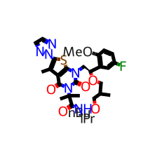 CCCCOCC(C)CO[C@@H](Cn1c(=O)n(C(C)(C)C(=O)NC(C)C)c(=O)c2c(C)c(-n3nccn3)sc21)c1cc(F)ccc1OC